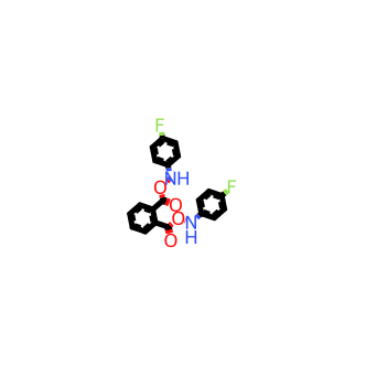 O=C(ONc1ccc(F)cc1)c1ccccc1C(=O)ONc1ccc(F)cc1